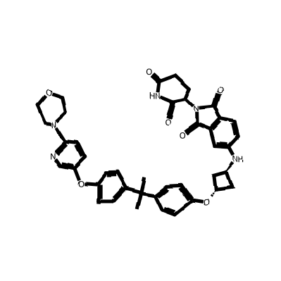 CC(C)(c1ccc(Oc2ccc(N3CCOCC3)nc2)cc1)c1ccc(O[C@H]2C[C@H](Nc3ccc4c(c3)C(=O)N(C3CCC(=O)NC3=O)C4=O)C2)cc1